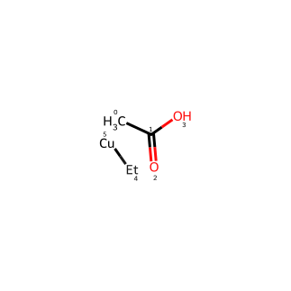 CC(=O)O.C[CH2][Cu]